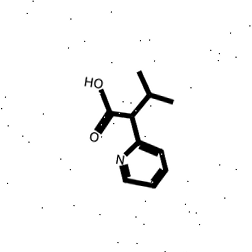 CC(C)C(C(=O)O)c1ccccn1